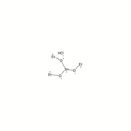 CC[O][Sn]([O]CC)[O]CC.Cl